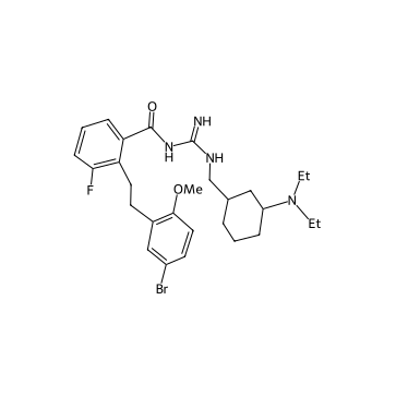 CCN(CC)C1CCCC(CNC(=N)NC(=O)c2cccc(F)c2CCc2cc(Br)ccc2OC)C1